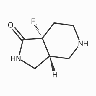 O=C1NC[C@H]2CNCC[C@]12F